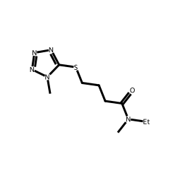 CCN(C)C(=O)CCCSc1nnnn1C